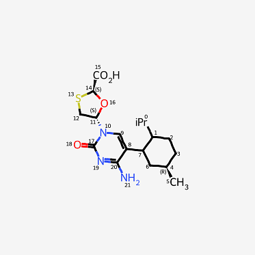 CC(C)C1CC[C@@H](C)CC1c1cn([C@@H]2CS[C@@H](C(=O)O)O2)c(=O)nc1N